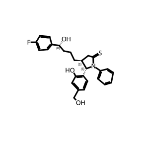 OCc1ccc([C@@H]2[C@@H](CCC[C@@H](O)c3ccc(F)cc3)CC(=S)N2c2ccccc2)c(O)c1